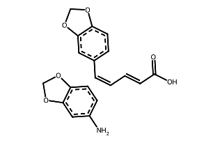 Nc1ccc2c(c1)OCO2.O=C(O)/C=C/C=C\c1ccc2c(c1)OCO2